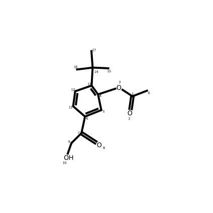 CC(=O)Oc1cc(C(=O)CO)ccc1C(C)(C)C